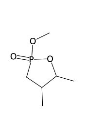 COP1(=O)CC(C)C(C)O1